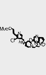 COCCc1ncc(CNC2CCN(C[C@@H]3Cn4c(=O)ccc5ncc(=O)n3c54)CC2)cc1Cl